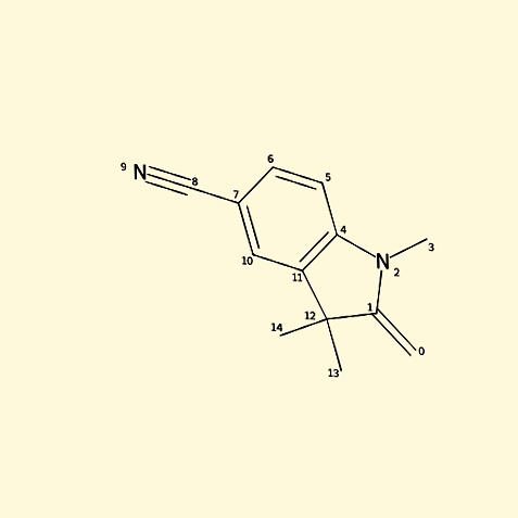 C=C1N(C)c2ccc(C#N)cc2C1(C)C